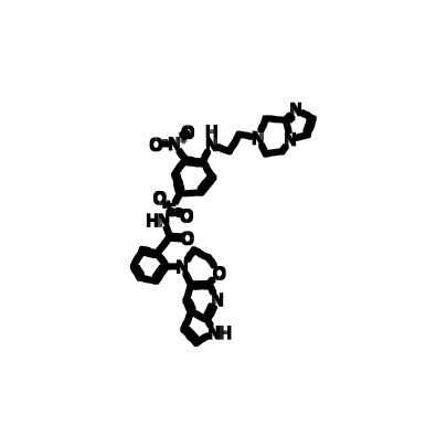 O=C(NS(=O)(=O)c1ccc(NCCN2CCn3ccnc3C2)c([N+](=O)[O-])c1)c1ccccc1N1CCOc2nc3[nH]ccc3cc21